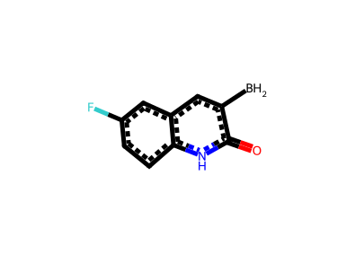 Bc1cc2cc(F)ccc2[nH]c1=O